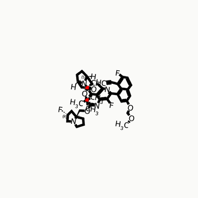 C#Cc1c(F)ccc2cc(OCOC)cc(-c3nc(Cl)c4c(N5C[C@H]6CC[C@@H](C5)N6C(=O)OC(C)(C)C)nc(OC[C@@]56CCCN5C[C@H](F)C6)nc4c3F)c12